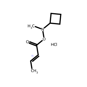 C/C=C/C(=O)ON(C)C1CCC1.Cl